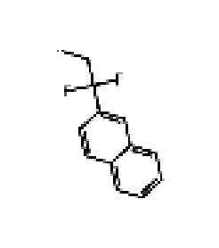 [CH2]CC(F)(F)c1ccc2ccccc2c1